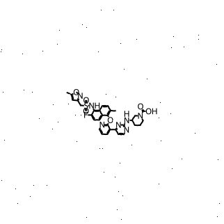 Cc1cc(CS(=O)(=O)Nc2c(F)ccc3c(Oc4ncccc4-c4ccnc(NC5CCCN(C(=O)O)C5)n4)c(C)ccc23)no1